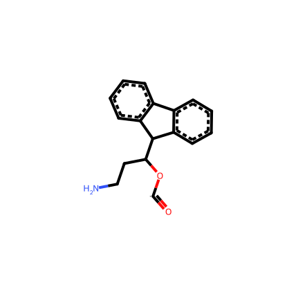 NCCC(O[C]=O)C1c2ccccc2-c2ccccc21